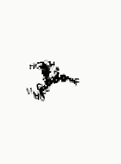 C=C(CO)C(=O)OCOc1cc(OCOC(=O)C(=C)CO)cc(-c2ccc(-c3ccc(CCCCF)cc3)c(CC)c2)c1